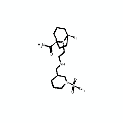 CS(=O)(=O)N1CCCC(CNCCN2[C@@H]3C[CH]C[C@@]2(C(N)=O)CC3)C1